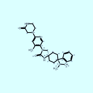 Cc1cc(N2CCNC(=O)C2)ncc1N1C[C@]2(CC[C@](c3ccccc3)(N(C)C)CC2)NC1=O